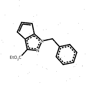 CCOC(=O)c1nn(Cc2ccccc2)c2c1C=C=C2